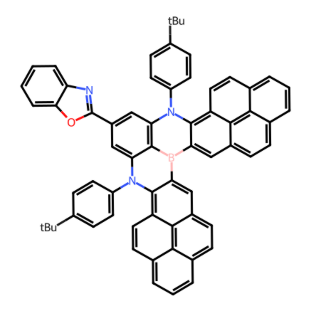 CC(C)(C)c1ccc(N2c3cc(-c4nc5ccccc5o4)cc4c3B(c3cc5ccc6cccc7ccc(c32)c5c67)c2cc3ccc5cccc6ccc(c2N4c2ccc(C(C)(C)C)cc2)c3c56)cc1